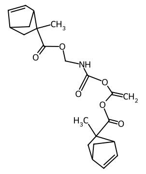 C=C(OC(=O)NCOC(=O)C1(C)CC2C=CC1C2)OC(=O)C1(C)CC2C=CC1C2